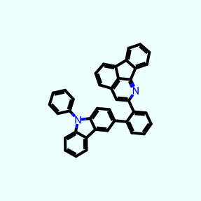 c1ccc(-n2c3ccccc3c3cc(-c4ccccc4-c4cc5cccc6c5c(n4)-c4ccccc4-6)ccc32)cc1